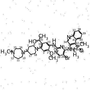 COc1cc(N2CCC(N3CCCN(C)CC3)CC2)c(C(C)O)cc1Nc1ncc(Br)c(Nc2cnc3ccccc3c2P(C)(C)=O)n1